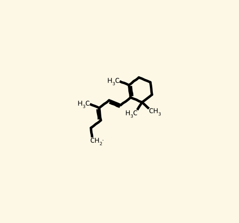 [CH2]CC=C(C)C=CC1=C(C)CCCC1(C)C